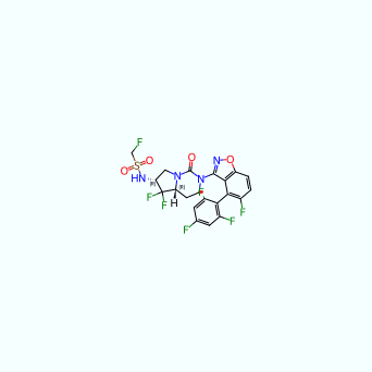 O=C1N(c2noc3ccc(F)c(-c4c(F)cc(F)cc4F)c23)CC[C@H]2N1C[C@@H](NS(=O)(=O)CF)C2(F)F